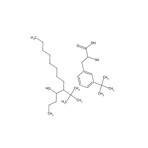 CC(C)(C)c1cccc(CC(S)C(=O)O)c1.CCCCCCCCC(C(O)CCC)C(C)(C)C